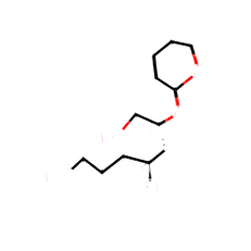 CCCC[C@H](C)C[C@H](CO)OC1CCCCO1